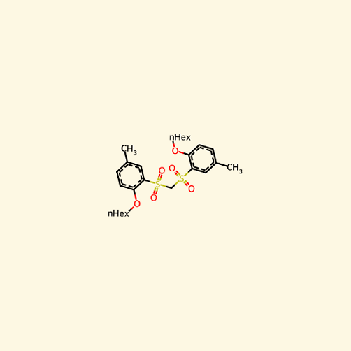 CCCCCCOc1ccc(C)cc1S(=O)(=O)CS(=O)(=O)c1cc(C)ccc1OCCCCCC